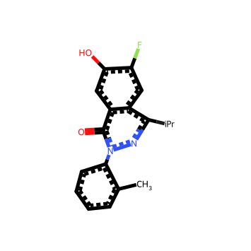 Cc1ccccc1-n1nc(C(C)C)c2cc(F)c(O)cc2c1=O